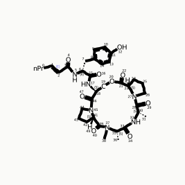 CCC/C=C/C(=O)N[C@H](Cc1ccc(O)cc1)C(=O)N[C@H]1COC(=O)[C@@H]2CCCN2C(=O)[C@H](C)NC(=O)[C@H](C)N(C)C(=O)[C@@H]2CCCN2C1=O